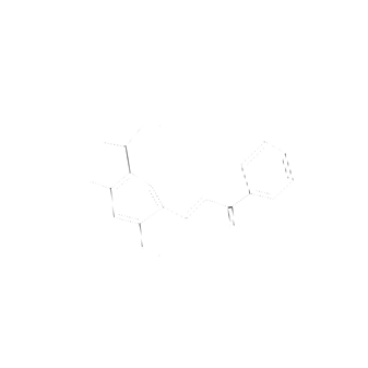 Cc1cc(O)c(C(C)C)cc1/C=C/C(=O)c1ccccc1